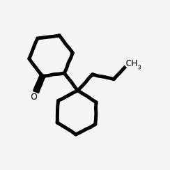 CCCC1(C2CCCCC2=O)CCCCC1